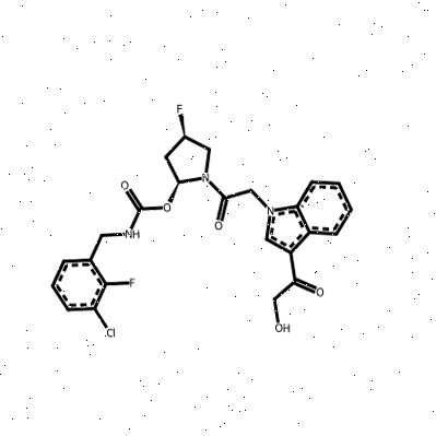 O=C(NCc1cccc(Cl)c1F)O[C@H]1C[C@@H](F)CN1C(=O)Cn1cc(C(=O)CO)c2ccccc21